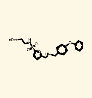 CCCCCCCCCCCCNS(=O)(=O)c1ccc(CNCc2ccc(Oc3ccccc3)cc2)s1